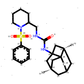 O=C(NCC1CCCCN1S(=O)(=O)c1ccccc1)NC12C[C@@H]3CC4C[C@H](C1)C2(C4)C3